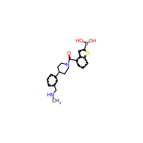 CNCc1cccc(C2CCN(C(=O)c3cccc4sc(B(O)O)cc34)CC2)c1